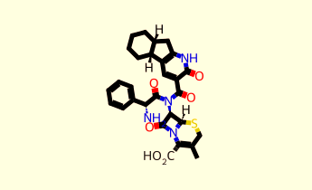 CC1=C(C(=O)O)N2C(=O)[C@@H](N(C(=O)c3cc4c([nH]c3=O)C[C@H]3CCCC[C@@H]43)C(=O)[C@H](N)c3ccccc3)[C@H]2SC1